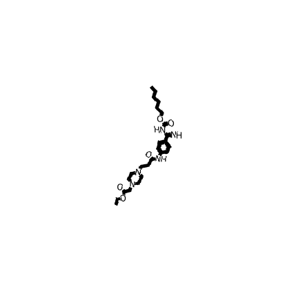 CCCCCCOC(=O)NC(=N)c1ccc(NC(=O)CCN2CCN(CC(=O)OCC)CC2)cc1